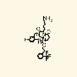 NCCCCC1C(=O)N(Cc2cc(F)ccc2F)C[C@@H]2N(C(=O)OCCc3ccccc3C(F)(F)F)CCC(=O)N12